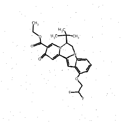 CCOC(=O)c1cn2c(cc1=O)-c1cc3c(OCC(F)F)cccc3n1CC2C(C)(C)C